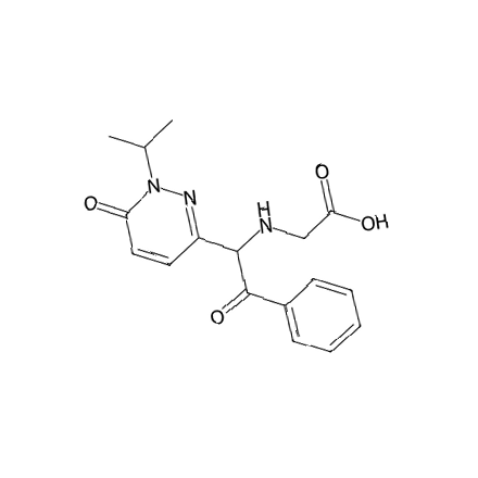 CC(C)n1nc(C(NCC(=O)O)C(=O)c2ccccc2)ccc1=O